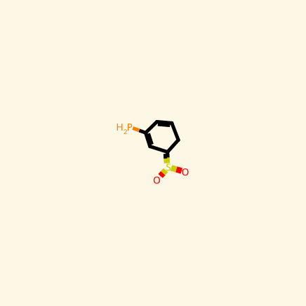 O=S(=O)=C1C=C(P)C=CC1